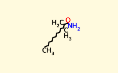 C=C(C(N)=O)C(C)CCCCCCCCCC